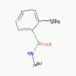 CCCCNC(=O)c1ccccc1SC